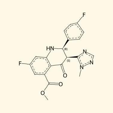 COC(=O)c1cc(F)cc2c1C(=O)[C@H](c1ncnn1C)[C@H](c1ccc(F)cc1)N2